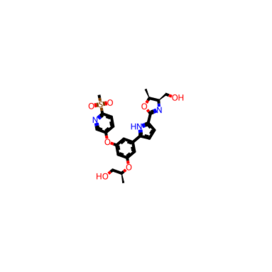 C[C@@H]1OC(c2ccc(-c3cc(Oc4ccc(S(C)(=O)=O)nc4)cc(O[C@@H](C)CO)c3)[nH]2)=N[C@@H]1CO